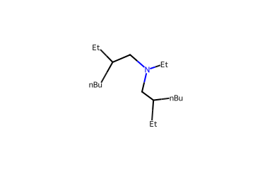 [CH2]CN(CC(CC)CCCC)CC(CC)CCCC